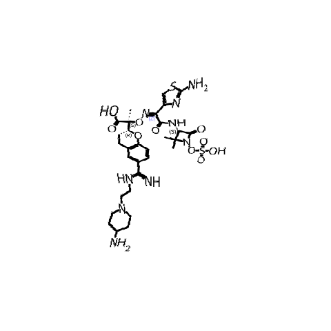 CC1(C)[C@H](NC(=O)/C(=N\O[C@](C)(C(=O)O)[C@H]2CCc3cc(C(=N)NCCN4CCC(N)CC4)ccc3O2)c2csc(N)n2)C(=O)N1OS(=O)(=O)O